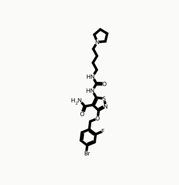 NC(=O)c1c(OCc2ccc(Br)cc2F)nsc1NC(=O)NCCCCN1CCCC1